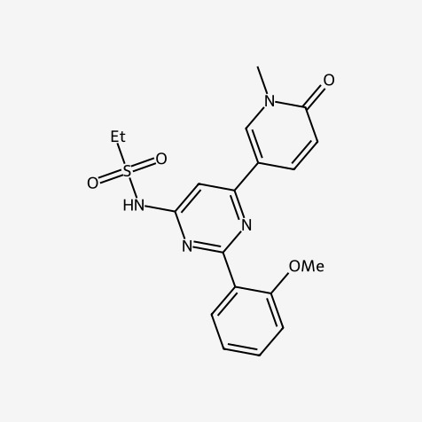 CCS(=O)(=O)Nc1cc(-c2ccc(=O)n(C)c2)nc(-c2ccccc2OC)n1